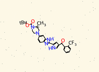 C[C@H]1CN(c2ccc3nc(-c4cc(C(=O)c5ccccc5C(F)(F)F)c[nH]4)[nH]c3c2)CCN1C(=O)OC(C)(C)C